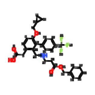 O=C(O)Cc1ccc(OCC2CC2)c(-c2ccc(C(F)(F)F)cc2)c1CNCCC(=O)OCc1ccccc1